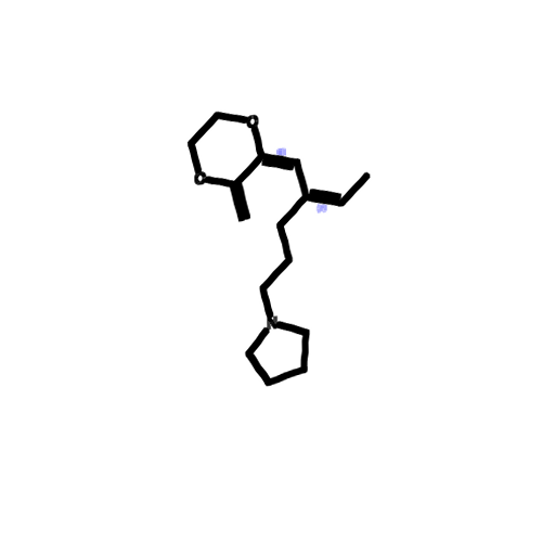 C=C1OCCO/C1=C/C(=C\C)CCCN1CCCC1